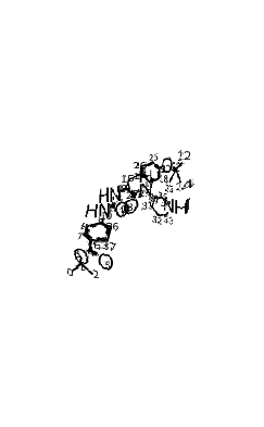 CC(C)OC(=O)c1ccc(NC(=O)N[C@@H](Cc2ccc(OC(C)(C)C)cc2)C(=O)N[C@H]2CCCNC2)cc1